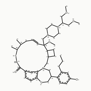 CCCc1cc(Cl)ccc1C1COc2ccc3cc2N(C1)CC1CCC1C(CN1CCN(C(COC)COC)CC1)(OC)/C=C/CC(C)C(C)SNC3=O